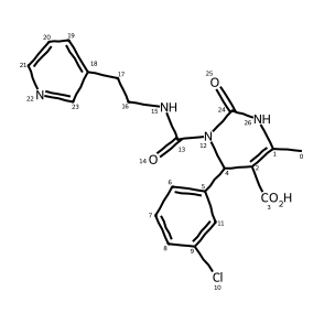 CC1=C(C(=O)O)C(c2cccc(Cl)c2)N(C(=O)NCCc2cccnc2)C(=O)N1